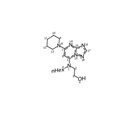 CCCCCCN(CCO)c1cc(N2CCCCC2)nc2ncnn12